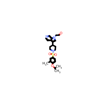 Cc1cc(S(=O)(=O)N2CCC(c3cn(CC=O)c4cnccc34)CC2)ccc1OC(C)C